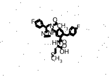 CSCC[C@H](NC(=O)c1cc(CN(CC(c2ccc(F)cc2)c2ncc[nH]2)C(C)=O)ccc1Cc1ccc(F)cc1)C(=O)O